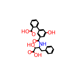 O=C(NC(Cc1ccccc1)C(O)C(=O)O)c1cc(O)cc(-c2ccccc2C(=O)O)c1